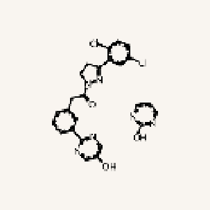 O=C(Cc1cccc(-c2ncc(O)cn2)c1)N1CCC(c2cc(Cl)ccc2Cl)=N1.Oc1ncccn1